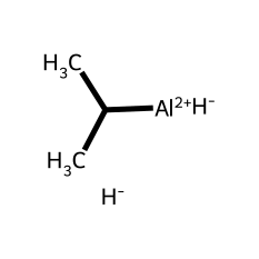 C[CH](C)[Al+2].[H-].[H-]